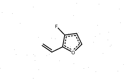 C=Cc1occc1F